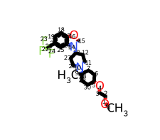 COCCOC1CCC(C)(N2CCC(N3COc4ccc(C(F)(F)F)cc43)CC2)CC1